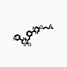 CN(C)CCCOc1cnc(-c2cccc(CN3N=C(c4cccnc4)CSC3=O)c2)nc1